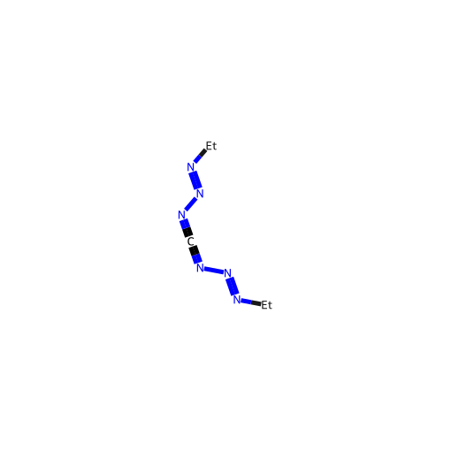 CCN=NN=C=NN=NCC